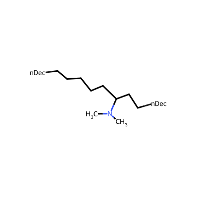 CCCCCCCCCCCCCCCC(CCCCCCCCCCCC)N(C)C